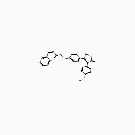 COc1ccc(C2=C(c3ccc(OCc4ccc5ccccc5n4)cc3)COC2=O)cc1